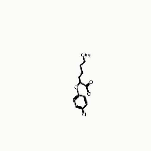 CCCCCCCCCCCCCCC(Oc1ccc(Cl)cc1)C(=O)Cl